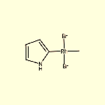 [CH3][Rh]([Br])([Br])[c]1ccc[nH]1